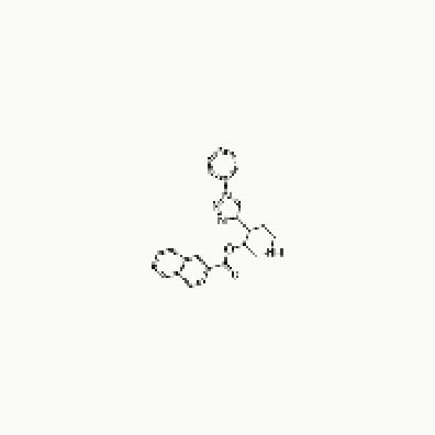 O=C(OC1CNCCC1c1cn(-c2ccccc2)nn1)c1ccc2ccccc2c1